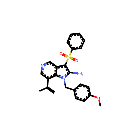 C=C(C)c1cncc2c(S(=O)(=O)c3ccccc3)c(N)n(Cc3ccc(OC)cc3)c12